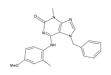 COc1ccc(Nc2nc(=O)n(C)c3ncn(Cc4ccccc4)c23)c(C)c1